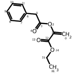 C=C(OC(=O)Cc1ccccc1)C(=O)OCC